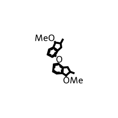 COC1c2cccc(Oc3cccc4c3CC(C)C4OC)c2CC1C